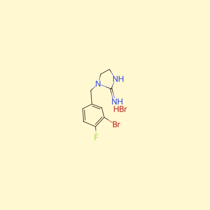 Br.N=C1NCCN1Cc1ccc(F)c(Br)c1